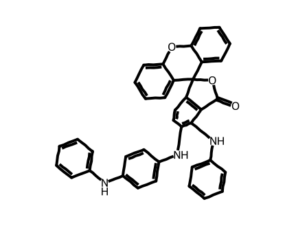 O=C1OC2(c3ccccc3Oc3ccccc32)c2ccc(Nc3ccc(Nc4ccccc4)cc3)c(Nc3ccccc3)c21